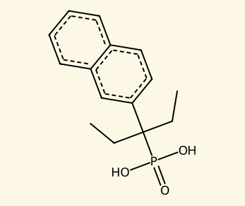 CCC(CC)(c1ccc2ccccc2c1)P(=O)(O)O